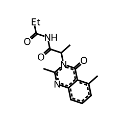 CCC(=O)NC(=O)C(C)n1c(C)nc2cccc(C)c2c1=O